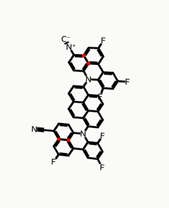 [C-]#[N+]c1ccc(N(c2c(F)cc(F)cc2-c2cccc(F)c2)c2ccc3ccc4c(N(c5ccc(C#N)cc5)c5c(F)cc(F)cc5-c5cccc(F)c5)ccc5ccc2c3c54)cc1